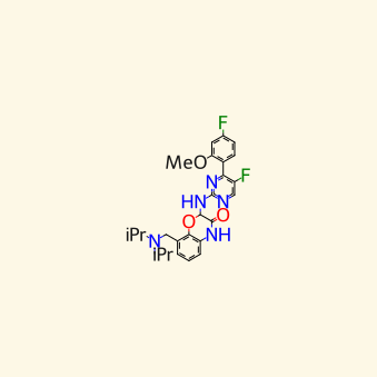 COc1cc(F)ccc1-c1nc(NC2Oc3c(CN(C(C)C)C(C)C)cccc3NC2=O)ncc1F